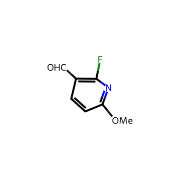 COc1ccc(C=O)c(F)n1